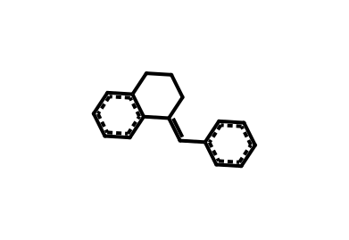 C(=C1CCCc2ccccc21)c1ccccc1